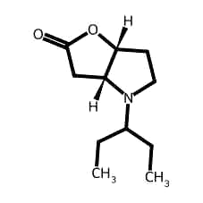 CCC(CC)N1CC[C@H]2OC(=O)C[C@H]21